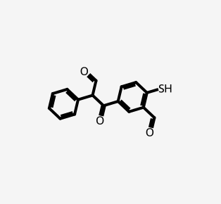 O=Cc1cc(C(=O)C(C=O)c2ccccc2)ccc1S